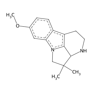 COc1ccc2c3c4n(c2c1)CC(C)(C)C4NCC3